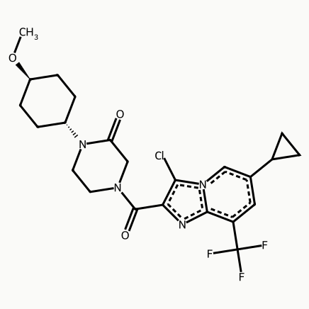 CO[C@H]1CC[C@H](N2CCN(C(=O)c3nc4c(C(F)(F)F)cc(C5CC5)cn4c3Cl)CC2=O)CC1